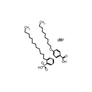 CCCCCCCCCCCCc1ccccc1S(=O)(=O)O.CCCCCCCCCOc1ccc(C(=O)O)cc1.[Mo].[Mo]